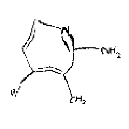 Cc1c(C(C)C)ccnc1N